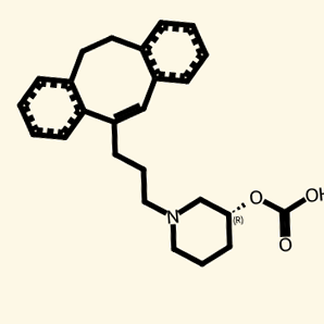 O=C(O)O[C@@H]1CCCN(CCCC2=Cc3ccccc3CCc3ccccc32)C1